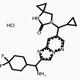 Cl.NC(c1cn2ncc(C(C3CC3)N3CC4(CC4)NC3=O)cc2n1)C1CCC(F)(F)CC1